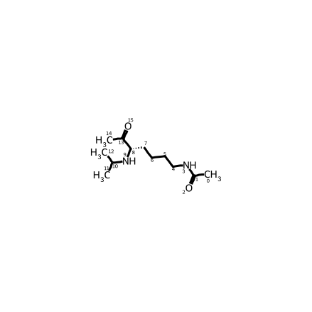 CC(=O)NCCCC[C@H](NC(C)C)C(C)=O